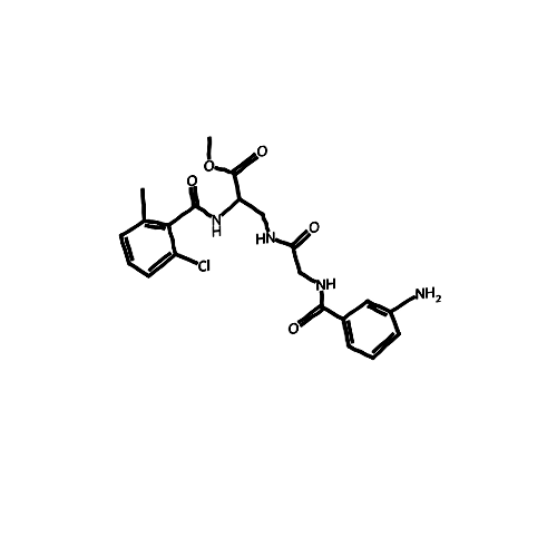 COC(=O)C(CNC(=O)CNC(=O)c1cccc(N)c1)NC(=O)c1c(C)cccc1Cl